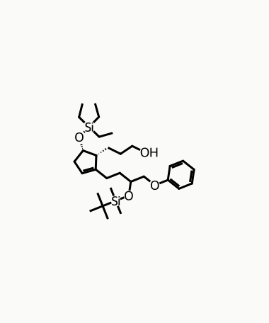 CC[Si](CC)(CC)O[C@H]1CC=C(CCC(COc2ccccc2)O[Si](C)(C)C(C)(C)C)[C@H]1CCCO